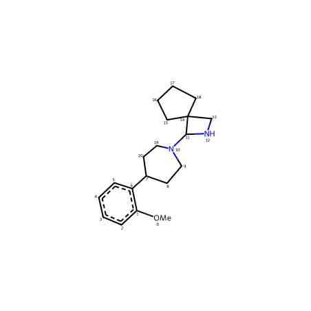 COc1ccccc1C1CCN(C2NCC23CCCC3)CC1